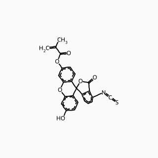 C=C(C)C(=O)Oc1ccc2c(c1)Oc1cc(O)ccc1C21OC(=O)c2c(N=C=S)cccc21